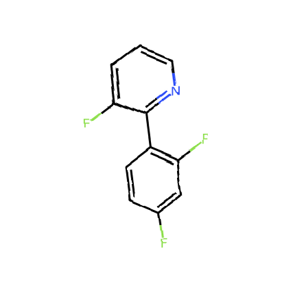 Fc1ccc(-c2ncccc2F)c(F)c1